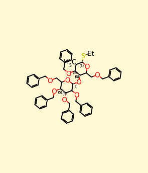 CCS[C@@H]1OC(COCc2ccccc2)[C@@H](O[C@@H]2OC(COCc3ccccc3)[C@H](OCc3ccccc3)[C@@H](OCc3ccccc3)C2OCc2ccccc2)[C@@H](OCc2ccccc2)C1C